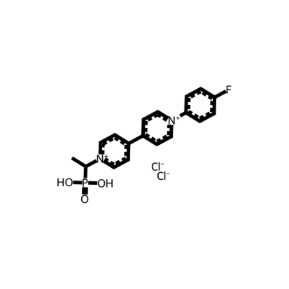 CC([n+]1ccc(-c2cc[n+](-c3ccc(F)cc3)cc2)cc1)P(=O)(O)O.[Cl-].[Cl-]